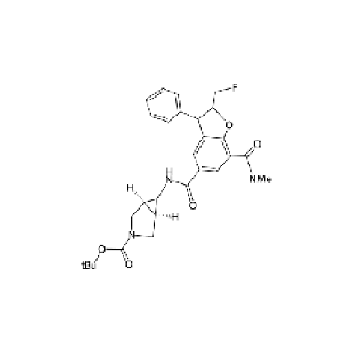 CNC(=O)c1cc(C(=O)NC2[C@H]3CN(C(=O)OC(C)(C)C)C[C@@H]23)cc2c1OC(CF)C2c1ccccc1